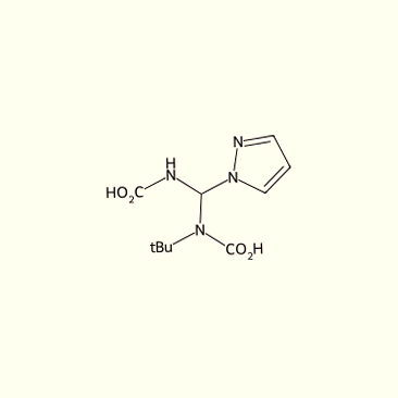 CC(C)(C)N(C(=O)O)C(NC(=O)O)n1cccn1